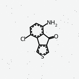 Nc1ccc(Cl)c2c1C(=O)c1cscc1-2